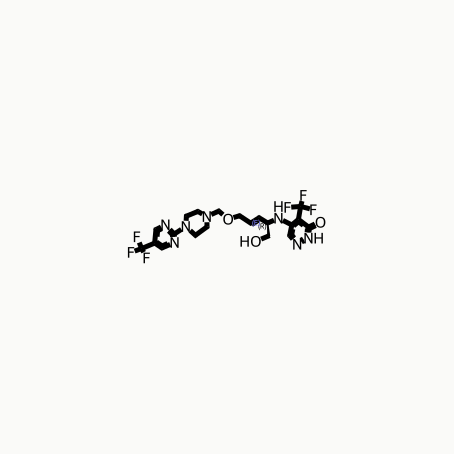 O=c1[nH]ncc(N[C@H](/C=C/COCN2CCN(c3ncc(C(F)(F)F)cn3)CC2)CO)c1C(F)(F)F